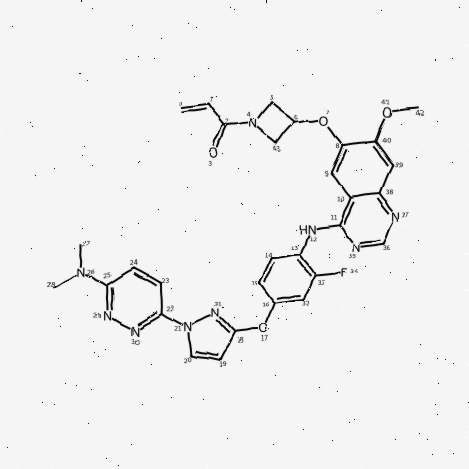 C=CC(=O)N1CC(Oc2cc3c(Nc4ccc(Oc5ccn(-c6ccc(N(C)C)nn6)n5)cc4F)ncnc3cc2OC)C1